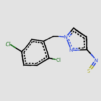 S=Nc1ccn(Cc2cc(Cl)ccc2Cl)n1